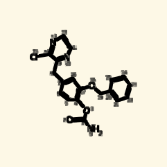 NC(=O)Oc1ccc([CH]c2nccnc2Cl)cc1OCc1ccccc1